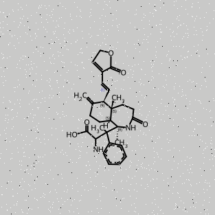 C=C1CC[C@H]2[C@@](C)(CCC(=O)N[C@@]2(C)C(C)(c2ccccc2)C(N)C(=O)O)[C@@H]1/C=C/C1=CCOC1=O